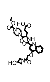 CCOC(=O)N1CCN(C(=O)C(CCC(=O)O)NC(=O)c2cc(OCC(=O)N3CC(O)C3)c3ccccc3n2)CC1